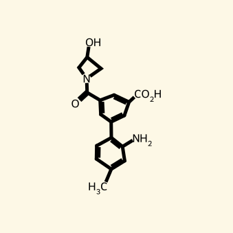 Cc1ccc(-c2cc(C(=O)O)cc(C(=O)N3CC(O)C3)c2)c(N)c1